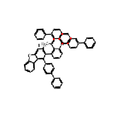 C/C(=C/c1ccccc1)c1c(-c2c(C)cc3oc4ccccc4c3c2-c2ccc(-c3ccccc3)cc2)cccc1N(c1ccc(-c2ccccc2)cc1)c1cccc(-c2ccccc2)c1